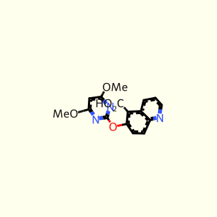 COc1cc(OC)nc(Oc2ccc3ncccc3c2C(=O)O)n1